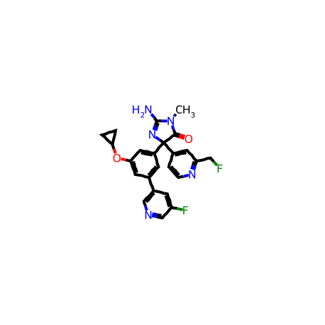 CN1C(=O)C(c2cc(OC3CC3)cc(-c3cncc(F)c3)c2)(c2ccnc(CF)c2)N=C1N